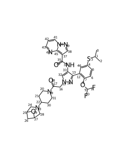 CC(C)Sc1ccc(OC(F)F)c(-c2nn(CC(=O)N3CCC(N4CC5CC(C4)O5)CC3)cc2NC(=O)c2cnn3cccnc23)c1